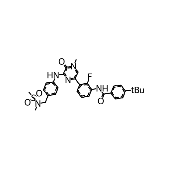 CN(Cc1ccc(Nc2nc(-c3cccc(NC(=O)c4ccc(C(C)(C)C)cc4)c3F)cn(C)c2=O)cc1)S(C)(=O)=O